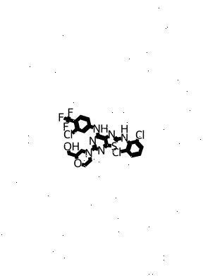 OCC1CN(c2nc(Nc3ccc(C(F)(F)F)c(Cl)c3)c3nc(Nc4c(Cl)cccc4Cl)sc3n2)CCO1